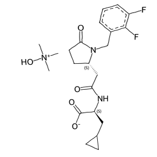 C[N+](C)(C)O.O=C(C[C@@H]1CCC(=O)N1Cc1cccc(F)c1F)N[C@@H](CC1CC1)C(=O)[O-]